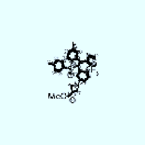 COC(=O)C1CN(c2cccc(-c3c(-c4ccsc4C(F)(F)F)c4cc(F)ccc4n3[S+]([O-])c3ccc(C)cc3)c2)C1